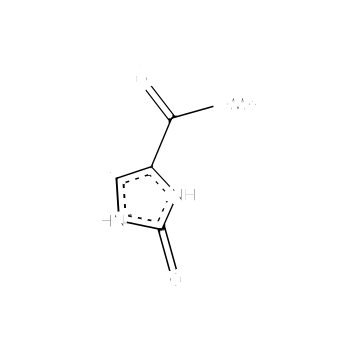 COC(=O)c1c[nH]c(=O)[nH]1